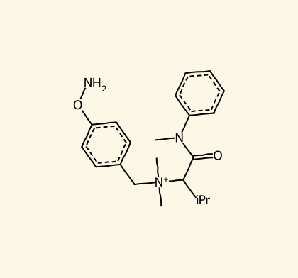 CC(C)C(C(=O)N(C)c1ccccc1)[N+](C)(C)Cc1ccc(ON)cc1